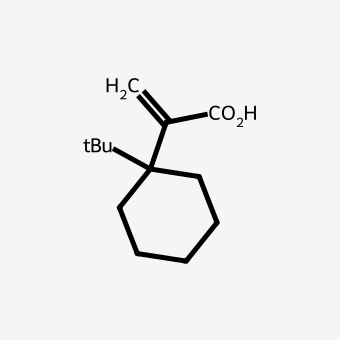 C=C(C(=O)O)C1(C(C)(C)C)CCCCC1